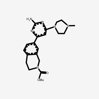 CC(C)COC(=O)N1CCc2ccc(-c3cc(N4CCN(C)CC4)nc(N)n3)cc2C1